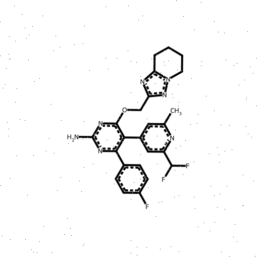 Cc1cc(-c2c(OCc3nc4n(n3)CCCC4)nc(N)nc2-c2ccc(F)cc2)cc(C(F)F)n1